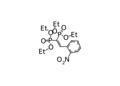 CCOP(=O)(OCC)C(=Cc1ccccc1[N+](=O)[O-])P(=O)(OCC)OCC